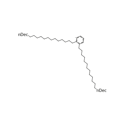 CCCCCCCCCCCCCCCCCCCCCCCc1[c]cccc1CCCCCCCCCCCCCCCCCCCCCCC